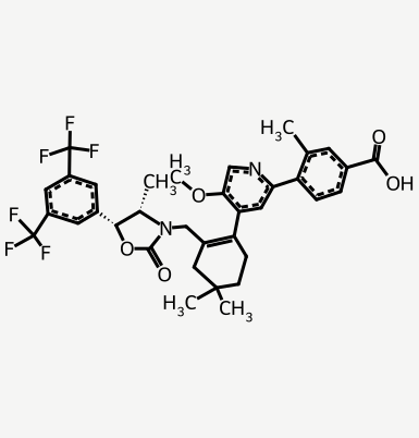 COc1cnc(-c2ccc(C(=O)O)cc2C)cc1C1=C(CN2C(=O)O[C@H](c3cc(C(F)(F)F)cc(C(F)(F)F)c3)[C@@H]2C)CC(C)(C)CC1